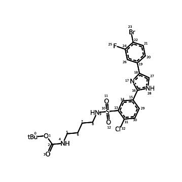 CC(C)(C)OC(=O)NCCCCNS(=O)(=O)c1cc(-c2nc(-c3ccc(Br)c(F)c3)c[nH]2)ccc1Cl